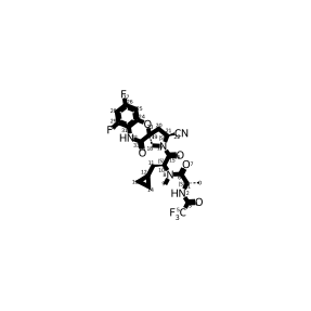 C[C@H](NC(=O)C(F)(F)F)C(=O)N(C)[C@@H](CC1CC1)C(=O)N1C[C@@]2(C[C@H]1C#N)Oc1cc(F)cc(F)c1NC2=O